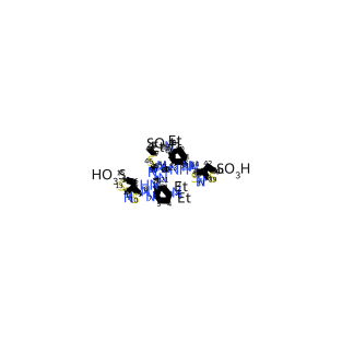 CCN(CC)c1ccc(/N=N/c2snc3sc(S(=O)(=O)O)cc23)c(Nc2nc(Nc3cc(N(CC)CC)ccc3/N=N/c3snc4sc(S(=O)(=O)O)cc34)nc(SCCS(=O)(=O)O)n2)c1